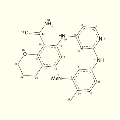 CNc1cc(Nc2nccc(Nc3ccc4c(c3C(N)=O)OCCC4)n2)ccc1C